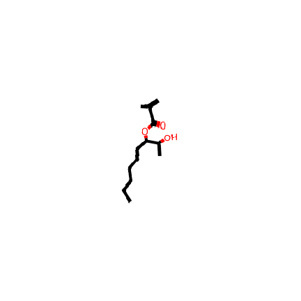 C=C(C)C(=O)OC(CCCCCC)C(C)O